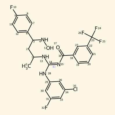 CC(CC(NO)c1ccc(F)cc1)N/C(=N\C(=O)c1cccc(C(F)(F)F)c1)Nc1cc(F)cc(Cl)c1